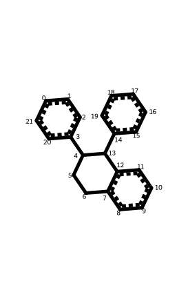 c1ccc(C2CCc3ccccc3C2c2ccccc2)cc1